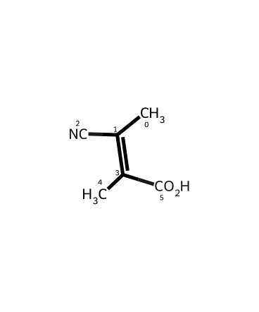 C/C(C#N)=C(/C)C(=O)O